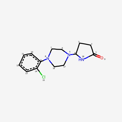 O=C1CCC(N2CCN(c3ccccc3Cl)CC2)N1